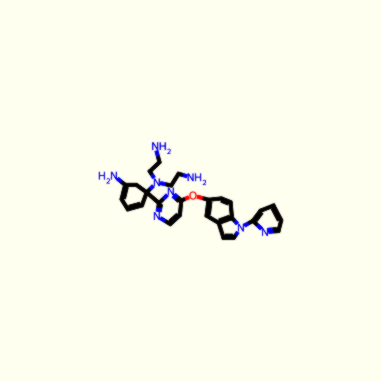 NCCN(CCN)C1(c2nccc(Oc3ccc4c(ccn4-c4ccccn4)c3)n2)C=CC=C(N)C1